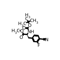 COC(=O)[C@H](Cc1ccc(C#N)c(F)c1)NC(=O)OC(C)(C)C